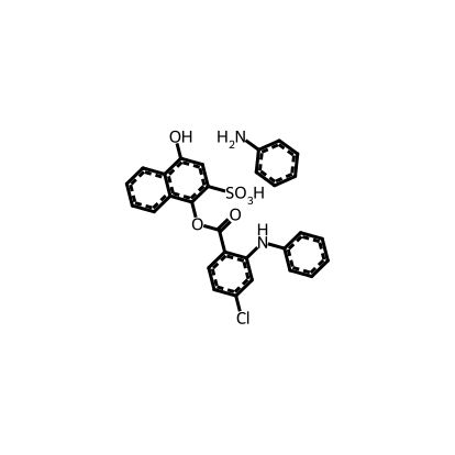 Nc1ccccc1.O=C(Oc1c(S(=O)(=O)O)cc(O)c2ccccc12)c1ccc(Cl)cc1Nc1ccccc1